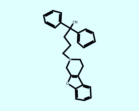 N#CC(CCCN1CCc2c(oc3ccccc23)C1)(c1ccccc1)c1ccccc1